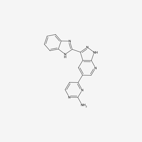 Nc1nccc(-c2cnc3[nH]nc(-c4nc5ccccc5[nH]4)c3c2)n1